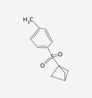 Cc1ccc(S(=O)(=O)C23CC(C2)C3)cc1